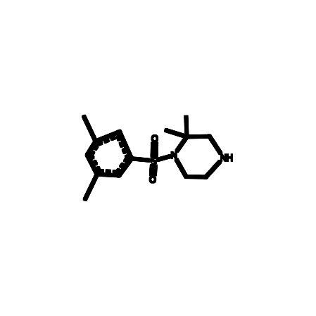 Cc1cc(C)cc(S(=O)(=O)N2CCNCC2(C)C)c1